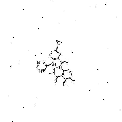 CNC(=O)c1c(NC(=O)c2nc(C3CC3)cnc2Nc2cncnc2)ccc(F)c1F